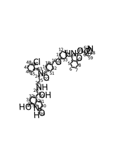 O=C(N[C@@H](c1ccccc1)c1cccc(OCc2ccc(C(=O)N(CCCNCC(O)c3ccc(O)c4[nH]c(=O)ccc34)Cc3ccccc3Cl)cc2)c1)OC1CN2CCC1CC2